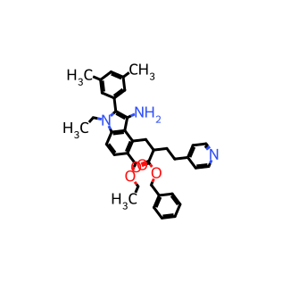 CCOC(=O)c1ccc2c(c(N)c(-c3cc(C)cc(C)c3)n2CC)c1CC(CCc1ccncc1)C(=O)OCc1ccccc1